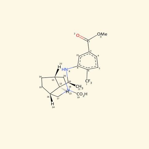 COC(=O)c1ccc(C(F)(F)F)c(N[C@@H](C)[C@@H]2[C@@H]3CC[C@H]2CN(C(=O)O)C3)c1